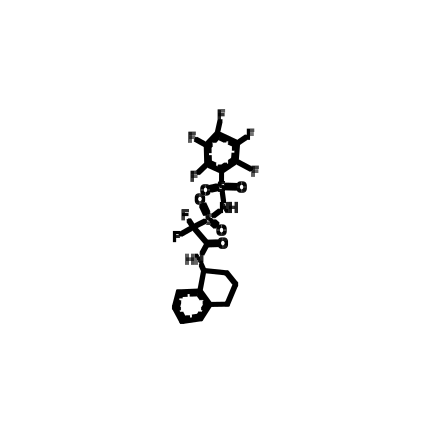 O=C(NC1CCCc2ccccc21)C(F)(F)S(=O)(=O)NS(=O)(=O)c1c(F)c(F)c(F)c(F)c1F